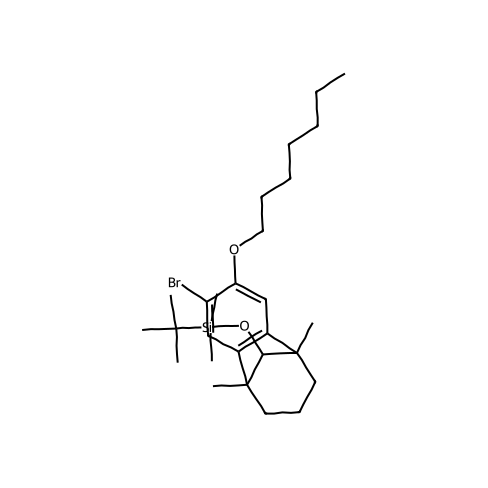 CCCCCCCOc1cc2c(cc1Br)C1(C)CCCC2(C)C1O[Si](C)(C)C(C)(C)C